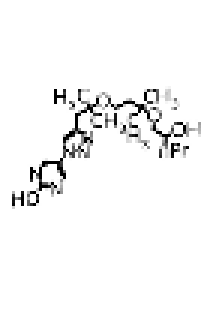 CCCC(O)COC(C)(C)CCOC(C)(C)Cc1cn(-c2cnc(O)nc2)nn1